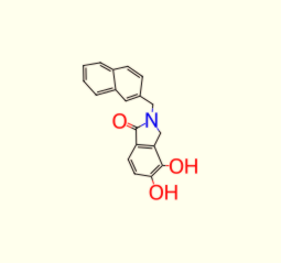 O=C1c2ccc(O)c(O)c2CN1Cc1ccc2ccccc2c1